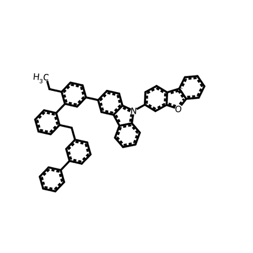 CCc1ccc(-c2ccc3c(c2)c2ccccc2n3-c2ccc3c(c2)oc2ccccc23)cc1-c1ccccc1Cc1cccc(-c2ccccc2)c1